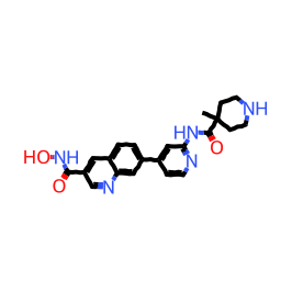 CC1(C(=O)Nc2cc(-c3ccc4cc(C(=O)NO)cnc4c3)ccn2)CCNCC1